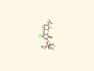 C[Si](C)(C)OCc1cc(Cl)c(Cc2ccc(C3CC3)cc2)cc1Br